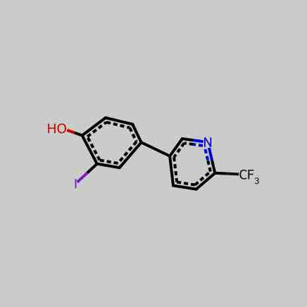 Oc1ccc(-c2ccc(C(F)(F)F)nc2)cc1I